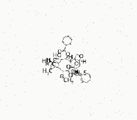 CO[C@H]1C(=O)[C@]2(C)[C@@H](OC3SCCCS3)C[C@H]3OC[C@@]3(OC(C)=O)[C@H]2[C@H](OC(=O)c2ccccc2)[C@]2(O)C[C@H](O)C(C)=C1C2(C)C